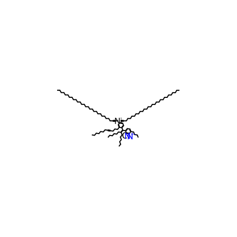 CCCCCCCC#CCCCc1ccccc1C(=C(CCCCCC)C(=C=[N+]=[N-])CCCCC)c1ccc(CCCC)cc1.CCCCCCCCCCCCCCCCCCCCCCCCCCCC#[C][Ni][C]#CCCCCCCCCCCCCCCCCCCCCCCCCCCC